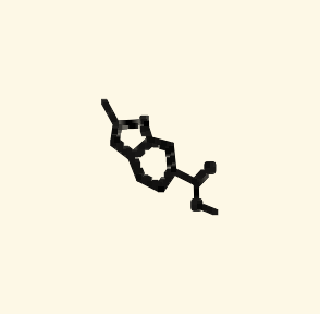 COC(=O)c1ccc2cc(C)sc2c1